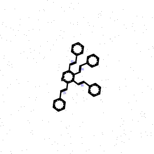 b1cc(/C=C/c2ccccc2)c(/C=C/c2ccccc2)c(/C=C/c2ccccc2)c1/C=C/c1ccccc1